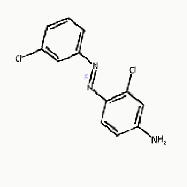 Nc1ccc(/N=N/c2cccc(Cl)c2)c(Cl)c1